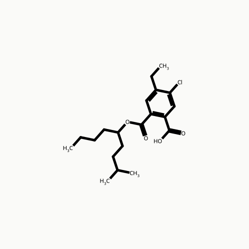 CCCCC(CCC(C)C)OC(=O)c1cc(CC)c(Cl)cc1C(=O)O